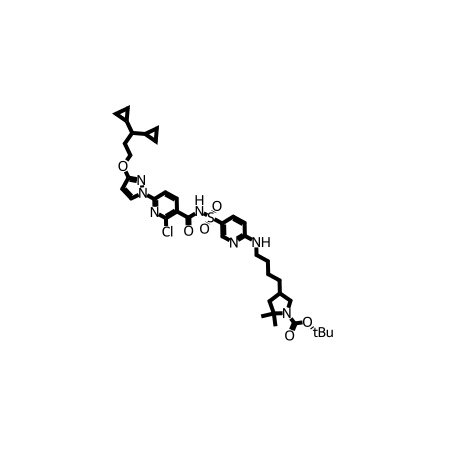 CC(C)(C)OC(=O)N1CC(CCCCNc2ccc(S(=O)(=O)NC(=O)c3ccc(-n4ccc(OCCC(C5CC5)C5CC5)n4)nc3Cl)cn2)CC1(C)C